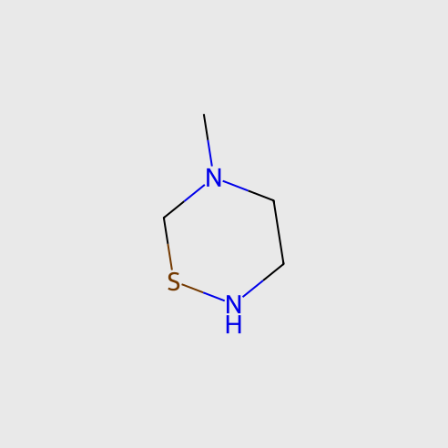 CN1CCNSC1